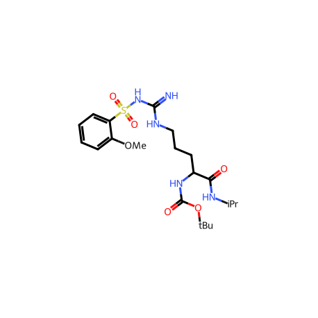 COc1ccccc1S(=O)(=O)NC(=N)NCCCC(NC(=O)OC(C)(C)C)C(=O)NC(C)C